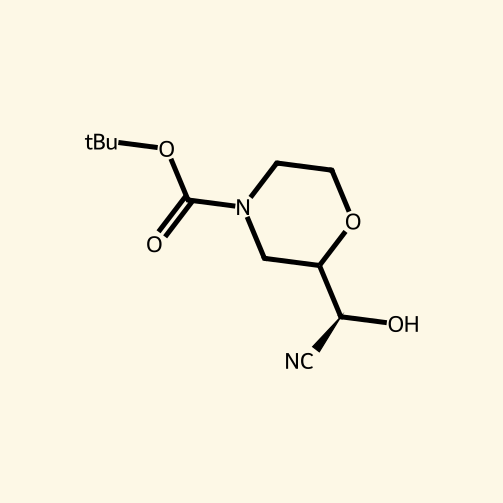 CC(C)(C)OC(=O)N1CCOC([C@@H](O)C#N)C1